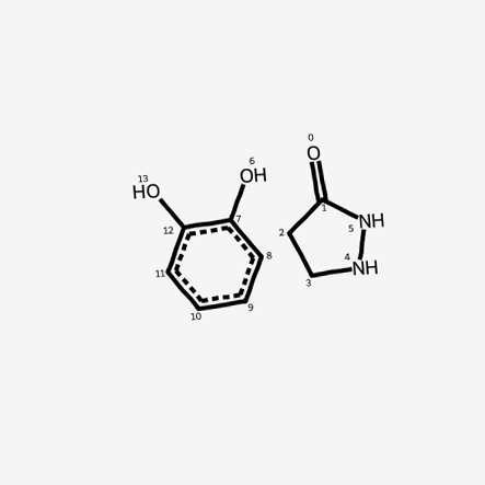 O=C1CCNN1.Oc1ccccc1O